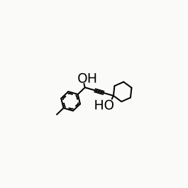 Cc1ccc(C(O)C#CC2(O)CCCCC2)cc1